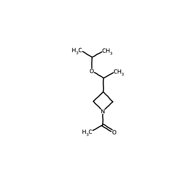 CC(=O)N1CC(C(C)OC(C)C)C1